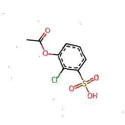 CC(=O)Oc1cccc(S(=O)(=O)O)c1Cl